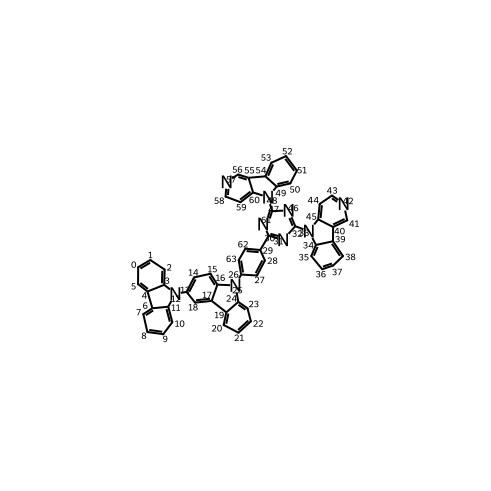 c1ccc2c(c1)c1ccccc1n2-c1ccc2c(c1)c1ccccc1n2-c1ccc(-c2nc(-n3c4ccccc4c4cnccc43)nc(-n3c4ccccc4c4cnccc43)n2)cc1